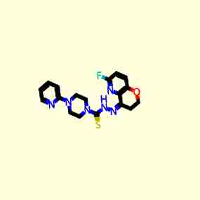 Fc1ccc2c(n1)/C(=N\NC(=S)N1CCN(c3ccccn3)CC1)CCO2